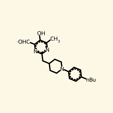 CCCCc1ccc(N2CCC(Cc3nc(C)c(O)c([C]=O)n3)CC2)cc1